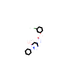 CCCCOc1c/c(=N\C(=O)Oc2cccc(Cl)c2)cnn1-c1ccccc1